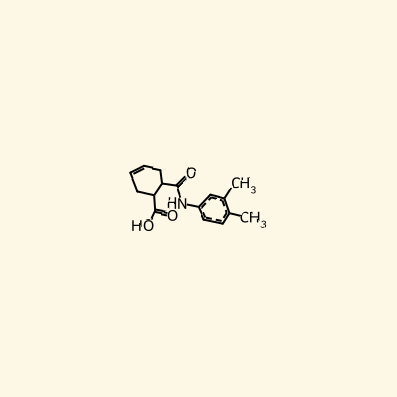 Cc1ccc(NC(=O)C2CC=CCC2C(=O)O)cc1C